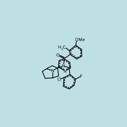 COc1cccc(C(=O)N(Cc2c(F)cccc2Cl)C2CC3CCC(C2)N3c2ccccn2)c1C